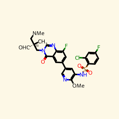 CNC[C@](C)(C=O)Cn1cnc2c(F)cc(-c3cnc(OC)c(NS(=O)(=O)c4ccc(F)cc4Cl)c3)cc2c1=O